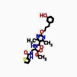 COC(=O)C(CNC(=O)c1cccs1)NC(=O)c1c(C)nc(OCCCc2cccc(O)c2)nc1C